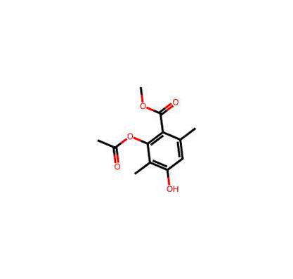 COC(=O)c1c(C)cc(O)c(C)c1OC(C)=O